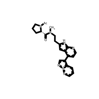 CC(=O)N1CCC[C@H]1C(=O)N(C)CCc1cc2c(-c3cnn4ncccc34)ccnc2[nH]1